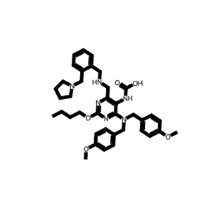 CCCCOc1nc(CNCc2ccccc2CN2CCCC2)c(NC(=O)O)c(N(Cc2ccc(OC)cc2)Cc2ccc(OC)cc2)n1